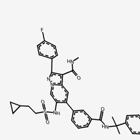 CNC(=O)c1c(-c2ccc(F)cc2)nn2cc(NS(=O)(=O)CCC3CC3)c(-c3cccc(C(=O)NC(C)(C)c4ccccc4)c3)cc12